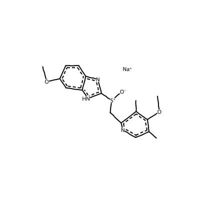 COc1ccc2nc([S+]([O-])Cc3ncc(C)c(OC)c3C)[nH]c2c1.[Na+]